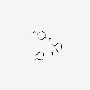 Bc1ccc(NC(=O)c2ccccc2NC(=O)c2ccc(C(=N)N)cc2)nc1